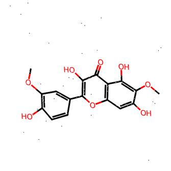 COc1cc(-c2oc3cc(O)c(OC)c(O)c3c(=O)c2O)ccc1O